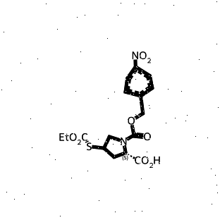 CCOC(=O)SC1C[C@@H](C(=O)O)N(C(=O)OCc2ccc([N+](=O)[O-])cc2)C1